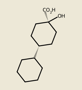 O=C(O)[C@]1(O)CC[C@H](C2CCCCC2)CC1